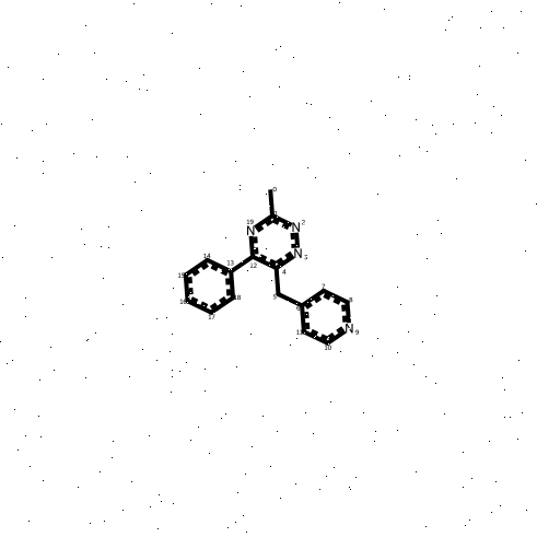 Cc1nnc(Cc2ccncc2)c(-c2ccccc2)n1